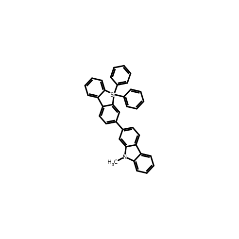 Cn1c2ccccc2c2ccc(-c3ccc4c(c3)[Si](c3ccccc3)(c3ccccc3)c3ccccc3-4)cc21